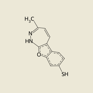 CC1=NNc2oc3cc(S)ccc3c2C=C1